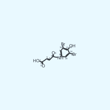 O=C(O)C=CC(=O)Nc1cc(Br)c(O)c(Br)c1